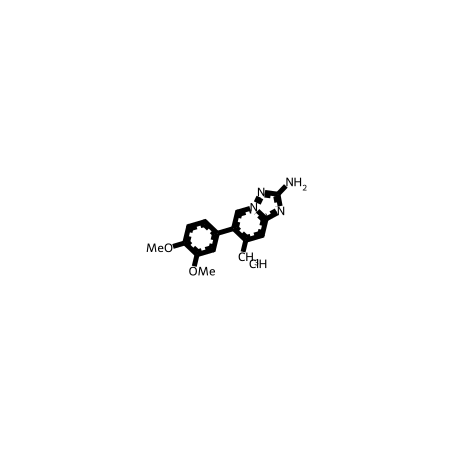 COc1ccc(-c2cn3nc(N)nc3cc2C)cc1OC.Cl